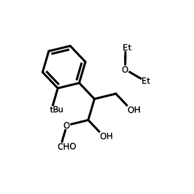 CC(C)(C)c1ccccc1C(CO)C(O)OC=O.CCOCC